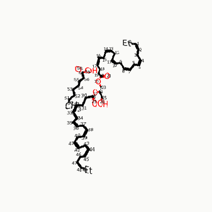 CC/C=C\C/C=C\C/C=C\C/C=C\C/C=C\C/C=C\CCC(=O)OC[C@H](CO)OC(=O)CC/C=C\C/C=C\C/C=C\C/C=C\C/C=C\C/C=C\CC.CCCCCCCC(=O)O